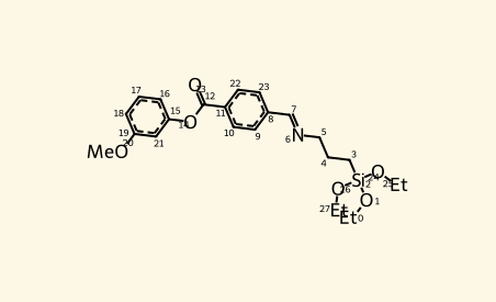 CCO[Si](CCCN=Cc1ccc(C(=O)Oc2cccc(OC)c2)cc1)(OCC)OCC